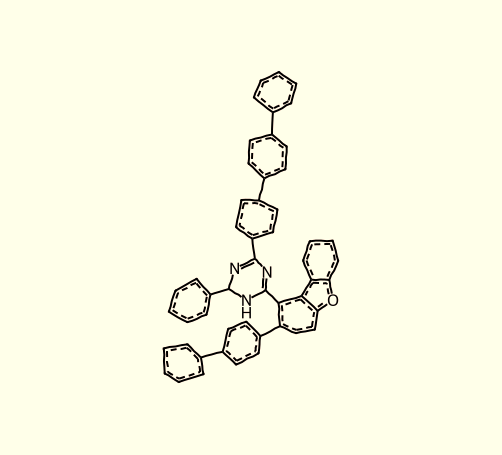 c1ccc(-c2ccc(-c3ccc(C4=NC(c5ccccc5)NC(c5c(-c6ccc(-c7ccccc7)cc6)ccc6oc7ccccc7c56)=N4)cc3)cc2)cc1